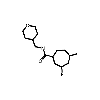 CC1CCC(C(=O)NCC2CCOCC2)CC(F)C1